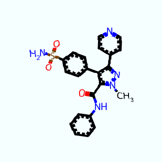 Cn1nc(-c2ccncc2)c(-c2ccc(S(N)(=O)=O)cc2)c1C(=O)Nc1ccccc1